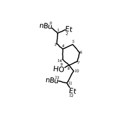 CCCCC(CC)CC1CCCC(O)(CC(CC)CCCC)C1